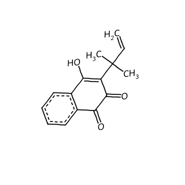 C=CC(C)(C)C1=C(O)c2ccccc2C(=O)C1=O